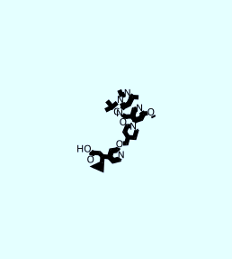 COc1cc(N2CCC(COc3cc(C(CC(=O)O)C4CC4)ccn3)CC2)c(C(=O)N(CC(C)(C)C)c2cc(C)nc(C)n2)cn1